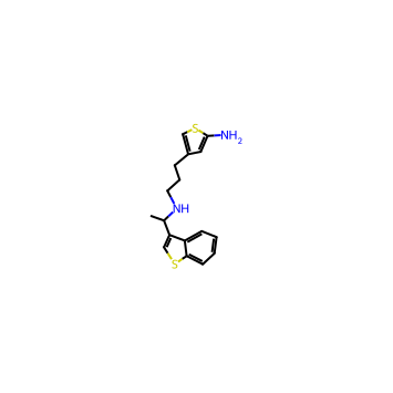 CC(NCCCc1csc(N)c1)c1csc2ccccc12